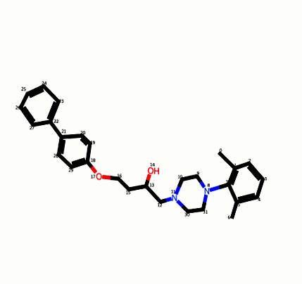 Cc1cccc(C)c1N1[CH]CN(CC(O)CCOc2ccc(-c3ccccc3)cc2)CC1